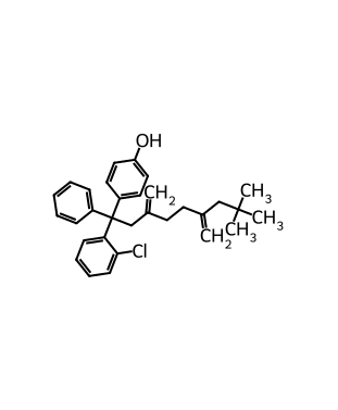 C=C(CCC(=C)CC(c1ccccc1)(c1ccc(O)cc1)c1ccccc1Cl)CC(C)(C)C